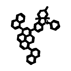 CC1CCC2(C)c3cc(-c4cc(-c5cccc6ccccc56)c5ccc6ccc(-c7cccc8ccccc78)c7ccc4c5c67)ccc3N(c3ccccc3)C2(C)C1